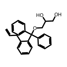 C=CCc1ccccc1C(OCC(O)CO)(c1ccccc1)c1ccccc1